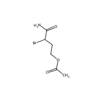 CC(=O)OCCC(Br)C(N)=O